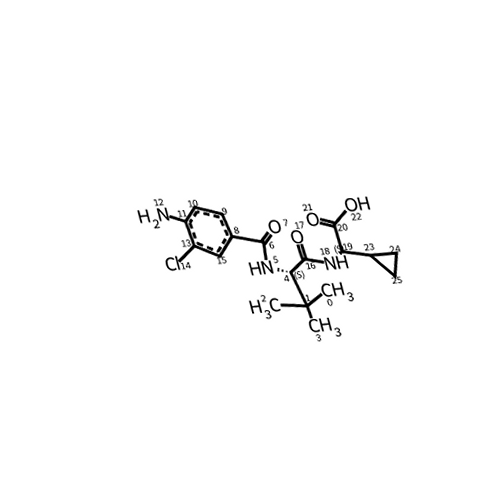 CC(C)(C)[C@H](NC(=O)c1ccc(N)c(Cl)c1)C(=O)N[C@H](C(=O)O)C1CC1